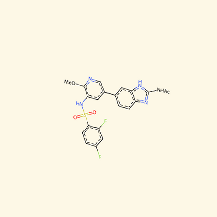 COc1ncc(-c2ccc3nc(NC(C)=O)[nH]c3c2)cc1NS(=O)(=O)c1ccc(F)cc1F